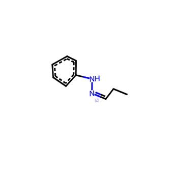 CC/C=N\Nc1ccccc1